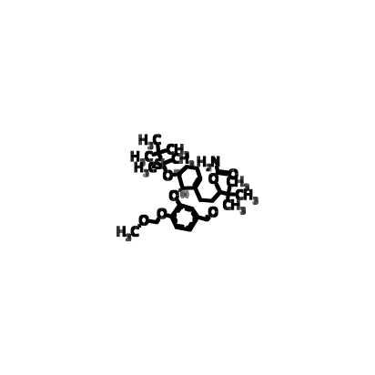 COCOc1ccc(C=O)cc1O[C@H]1C(CCC(OC(N)=O)C(C)(C)C)=CCC[C@@H]1O[Si](C)(C)C(C)(C)C